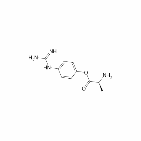 C[C@H](N)C(=O)Oc1ccc(NC(=N)N)cc1